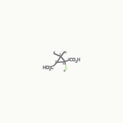 CC1(C)C(C(=O)O)C1(F)C(=O)O